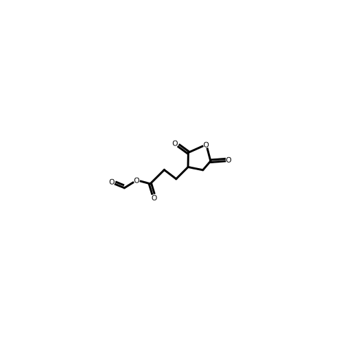 O=COC(=O)CCC1CC(=O)OC1=O